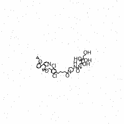 CN(C[C@@H](O)[C@H](O)[C@@H](O)CCO)C(=O)NC1CCN(C(=O)CCCCc2cc(Cl)c(COC3(c4cnccc4-c4ccccc4OC4CC4)CC3)cc2Cl)CC1